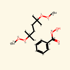 CC(C)(C)OOC(C)(C)CCC(C)(C)OOC(C)(C)C.O=C(OO)c1ccccc1